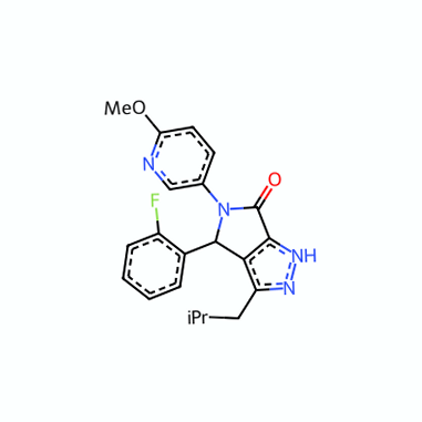 COc1ccc(N2C(=O)c3[nH]nc(CC(C)C)c3C2c2ccccc2F)cn1